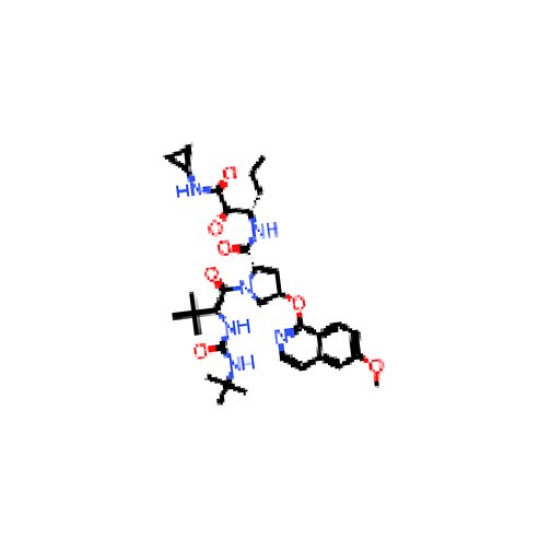 CCC[C@H](NC(=O)[C@@H]1CC(Oc2nccc3cc(OC)ccc23)CN1C(=O)[C@@H](NC(=O)NC(C)(C)C)C(C)(C)C)C(=O)C(=O)NC1CC1